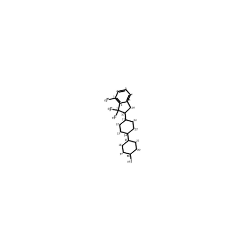 Fc1cccc2c1C(F)(F)C(C1CCC(C3CCC(I)CC3)CC1)C2